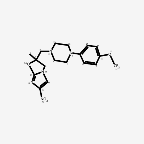 CC1(CN2CCN(c3ccc(OC(F)(F)F)cc3)CC2)Cn2cc([N+](=O)[O-])nc2O1